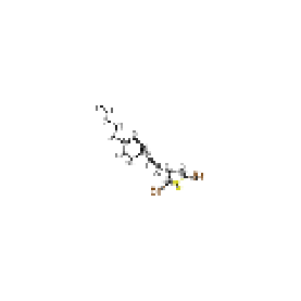 CCCCCc1ccc(C#Cc2cc(Br)sc2Br)cc1